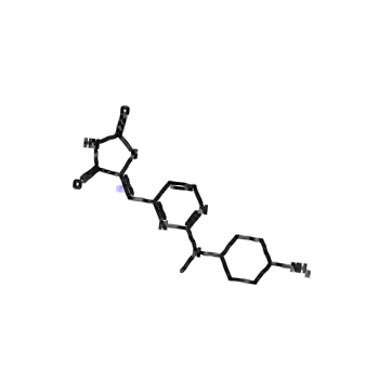 CN(c1nccc(/C=C2\SC(=O)NC2=O)n1)C1CCC(N)CC1